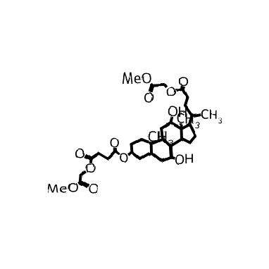 COC(=O)COC(=O)CCC(=O)OC1CCC2(C)C(C1)CC(O)C1C2CC(O)C2(C)C(C(C)CCC(=O)OCC(=O)OC)CCC12